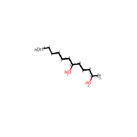 CCCCCCCCCCCCCC(O)CCCC(O)CC